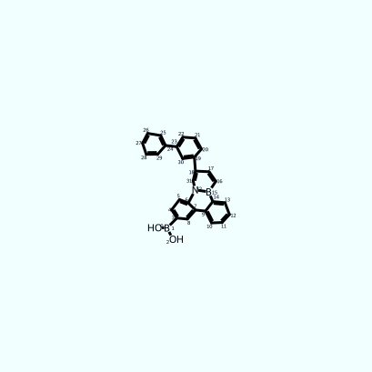 OB(O)c1ccc2c(c1)-c1ccccc1B1C=CC(c3cccc(-c4ccccc4)c3)=CN12